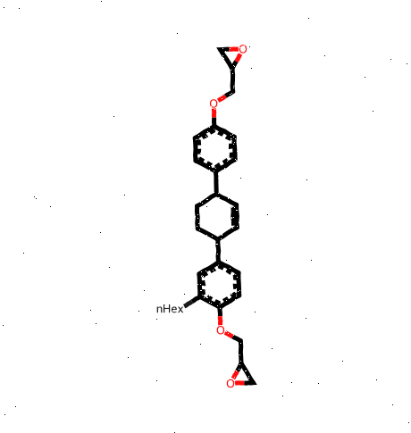 CCCCCCc1cc(C2C=CC(c3ccc(OCC4CO4)cc3)CC2)ccc1OCC1CO1